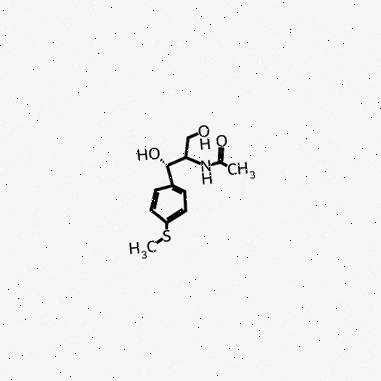 CSc1ccc([C@H](O)C(CO)NC(C)=O)cc1